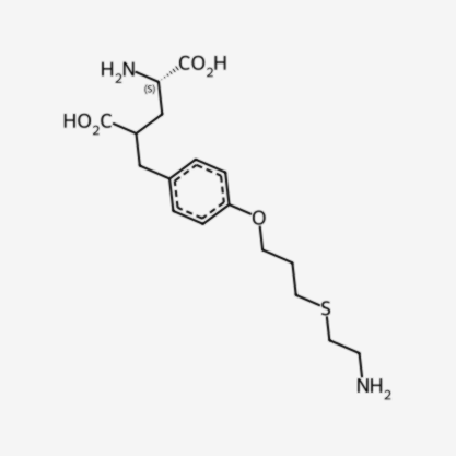 NCCSCCCOc1ccc(CC(C[C@H](N)C(=O)O)C(=O)O)cc1